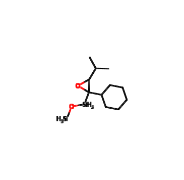 CC(C)C1OC1([SiH2]O[SiH3])C1CCCCC1